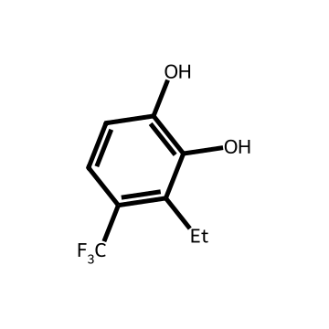 CCc1c(C(F)(F)F)ccc(O)c1O